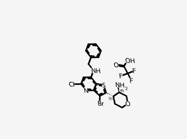 N[C@H]1COCC[C@@H]1c1sc2c(NCc3ccccc3)cc(Cl)nc2c1Br.O=C(O)C(F)(F)F